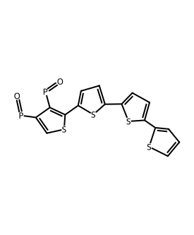 O=Pc1csc(-c2ccc(-c3ccc(-c4cccs4)s3)s2)c1P=O